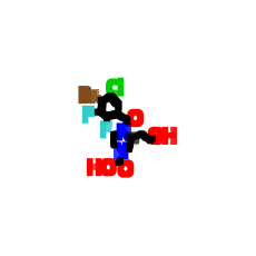 O=C(O)N1CCN(C(=O)c2cc(Cl)c(Br)c(F)c2F)[C@@H](CCO)C1